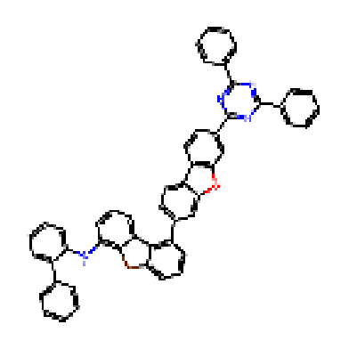 c1ccc(-c2nc(-c3ccccc3)nc(-c3ccc4c(c3)oc3cc(-c5cccc6sc7c(Nc8ccccc8-c8ccccc8)cccc7c56)ccc34)n2)cc1